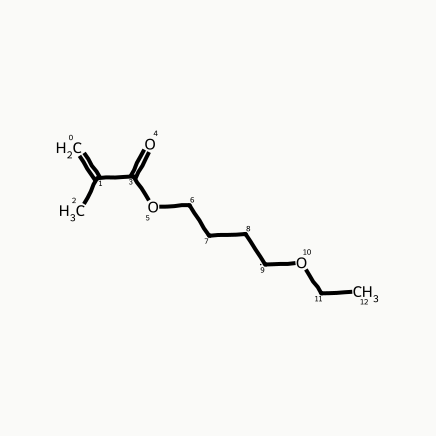 C=C(C)C(=O)OCCC[CH]OCC